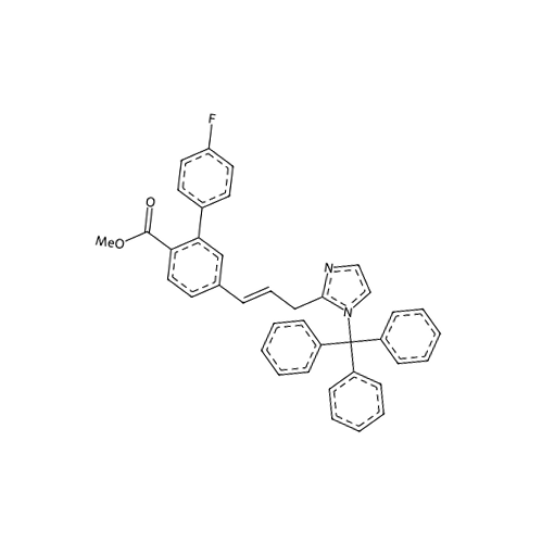 COC(=O)c1ccc(C=CCc2nccn2C(c2ccccc2)(c2ccccc2)c2ccccc2)cc1-c1ccc(F)cc1